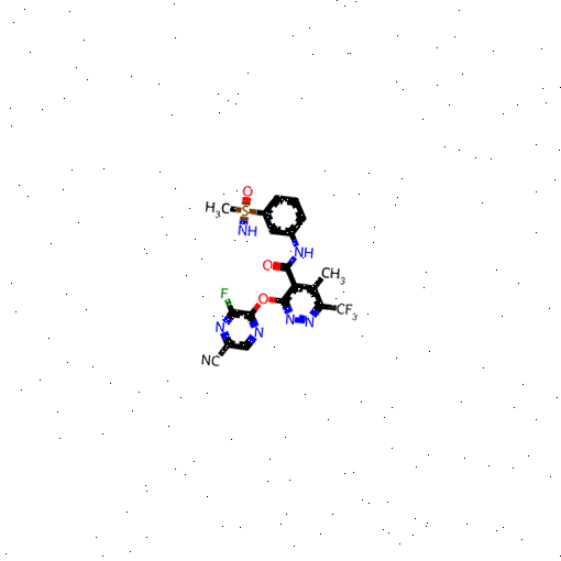 Cc1c(C(F)(F)F)nnc(Oc2ncc(C#N)nc2F)c1C(=O)Nc1cccc(S(C)(=N)=O)c1